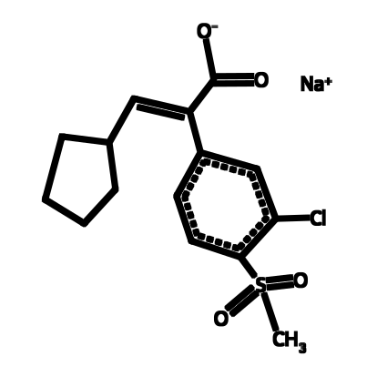 CS(=O)(=O)c1ccc(/C(=C\C2CCCC2)C(=O)[O-])cc1Cl.[Na+]